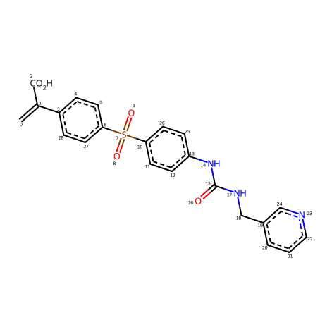 C=C(C(=O)O)c1ccc(S(=O)(=O)c2ccc(NC(=O)NCc3cccnc3)cc2)cc1